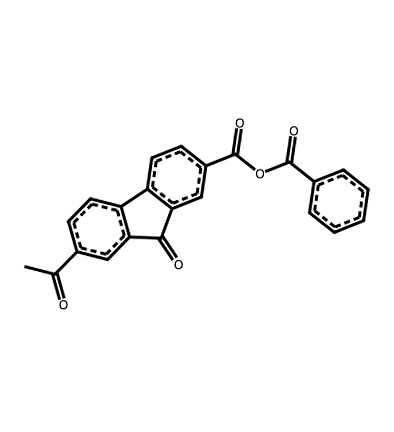 CC(=O)c1ccc2c(c1)C(=O)c1cc(C(=O)OC(=O)c3ccccc3)ccc1-2